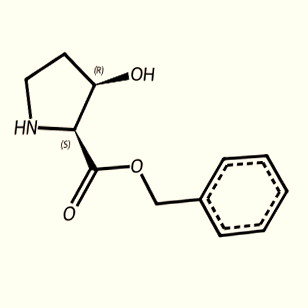 O=C(OCc1ccccc1)[C@H]1NCC[C@H]1O